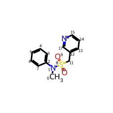 CN(c1ccccc1)S(=O)(=O)Cc1cccnc1